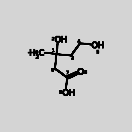 [CH2]C(O)(CCO)CC(=O)O